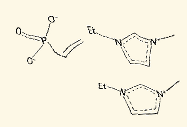 C=CP(=O)([O-])[O-].CCn1cc[n+](C)c1.CCn1cc[n+](C)c1